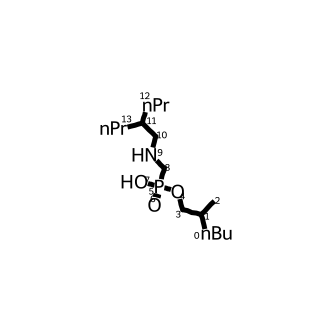 CCCCC(C)COP(=O)(O)CNCC(CCC)CCC